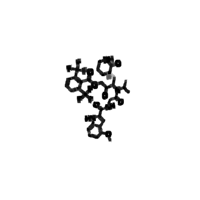 COc1cccc2[nH]c(C(=O)NCC(=O)N(C(C)C)C(C[C@@H]3CCCNC3=O)C(=O)COC(=O)c3c(C(F)(F)F)cccc3C(F)(F)F)cc12